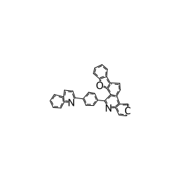 c1ccc2nc(-c3ccc(-c4nc5ccccc5c5ccc6c7ccccc7oc6c45)cc3)ccc2c1